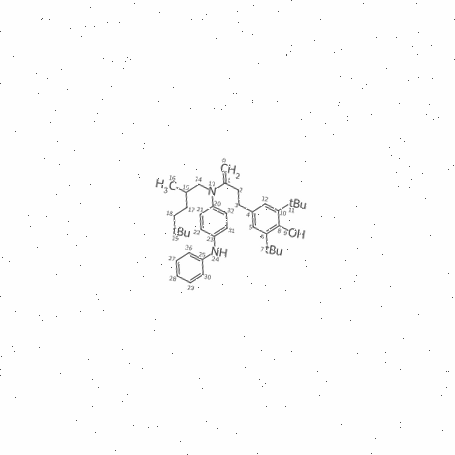 C=C(CCc1cc(C(C)(C)C)c(O)c(C(C)(C)C)c1)N(CC(C)CCC(C)(C)C)c1ccc(Nc2ccccc2)cc1